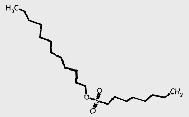 CCCCCCCCCCCCOS(=O)(=O)CCCCCCCC